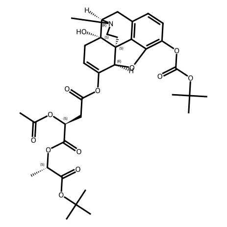 CC(=O)O[C@@H](CC(=O)OC1=CC[C@@]2(O)[C@H]3Cc4ccc(OC(=O)OC(C)(C)C)c5c4[C@@]2(CCN3C)[C@H]1O5)C(=O)O[C@@H](C)C(=O)OC(C)(C)C